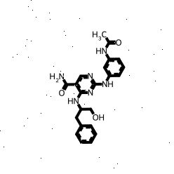 CC(=O)Nc1cccc(Nc2ncc(C(N)=O)c(NC(CO)Cc3ccccc3)n2)c1